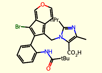 CCCc1nc(C)c(C(=O)O)n1Cc1c2ccocc-2c(Br)c1-c1ccccc1NC(=O)C(C)(C)C